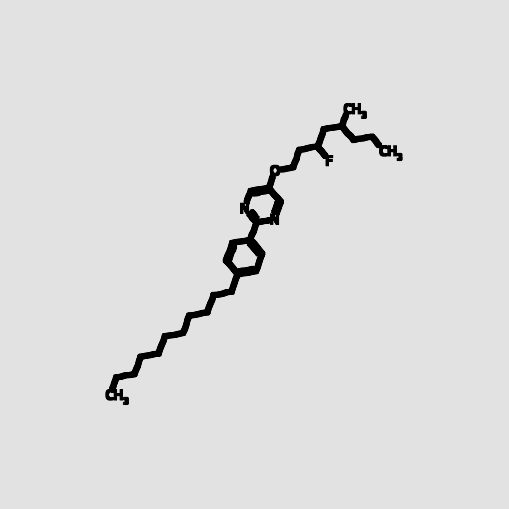 CCCCCCCCCCCc1ccc(-c2ncc(OCCC(F)CC(C)CCC)cn2)cc1